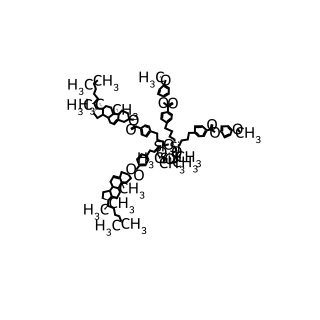 COc1ccc(OC(=O)c2ccc(CCCC[Si]3(CCCCc4ccc(C(=O)Oc5ccc(OC)cc5)cc4)O[Si](C)(C)O[Si](C)(C)O[Si](CCCc4ccc(C(=O)OC5CC[C@@]6(C)C(=CCC7C6CC[C@@]6(C)C7CC[C@@H]6[C@H](C)CCCC(C)C)C5)cc4)(CCCc4ccc(C(=O)OC5CC[C@@]6(C)C(=CCC7C6CC[C@@]6(C)C7CC[C@@H]6[C@H](C)CCCC(C)C)C5)cc4)O3)cc2)cc1